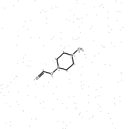 CN1CCN(OC=O)CC1